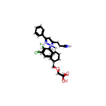 N#CCCC1=CC(c2ccccc2)=N[N+]1(C[C@H]1CC[C@H](COCC(=O)O)CC1)c1cccc(Cl)c1F